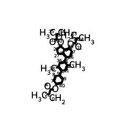 C=C(C)C(=O)Oc1ccc(-c2cc(C)c(-c3ccc(OC(=O)C(=C)C)c4c3CCC4OC(=O)C(=C)C)cc2C)cc1